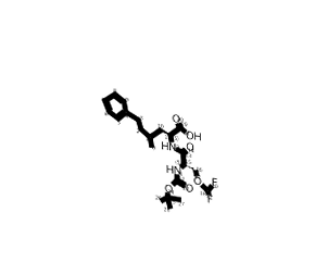 CC(CCc1ccccc1)C[C@H](NC(=O)[C@H](COC(F)F)NC(=O)OC(C)(C)C)C(=O)O